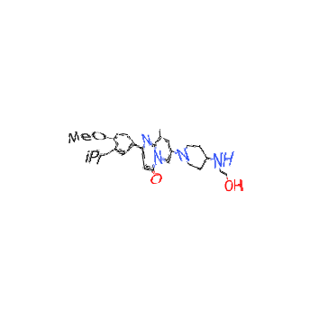 COc1ccc(-c2cc(=O)n3cc(N4CCC(NCCO)CC4)cc(C)c3n2)cc1C(C)C